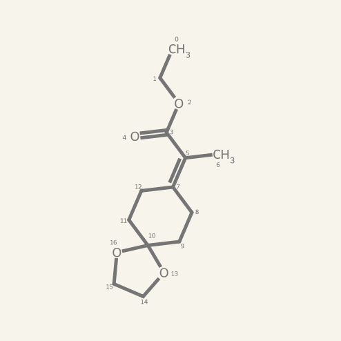 CCOC(=O)C(C)=C1CCC2(CC1)OCCO2